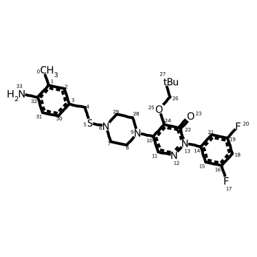 Cc1cc(CSN2CCN(c3cnn(-c4cc(F)cc(F)c4)c(=O)c3OCC(C)(C)C)CC2)ccc1N